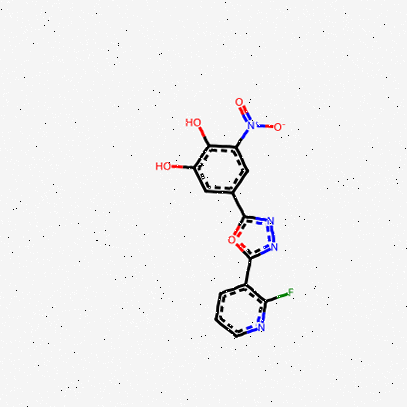 O=[N+]([O-])c1cc(-c2nnc(-c3cccnc3F)o2)cc(O)c1O